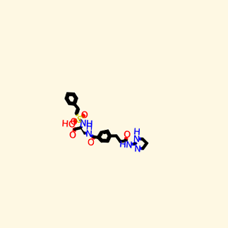 O=C(CCc1ccc(C(=O)NC[C@H](NS(=O)(=O)C=Cc2ccccc2)C(=O)O)cc1)NC1=NCCCN1